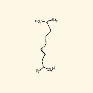 CC(C)C(CCSSCCC(C(C)C)S(=O)(=O)O)S(=O)(=O)O